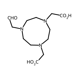 O=CCN1CCN(CC(=O)O)CCN(CC(=O)O)CC1